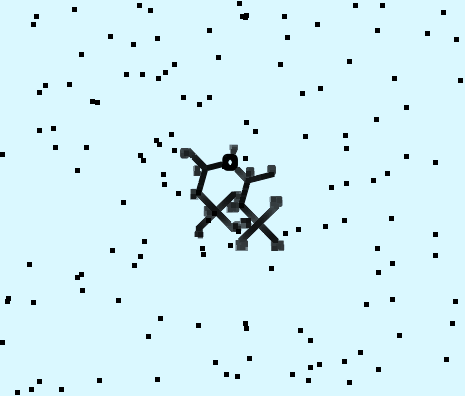 CC(CC(C)(C)C)OC(C)CC(C)(C)C